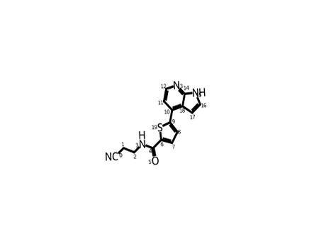 N#CCCNC(=O)c1ccc(-c2ccnc3[nH]ccc23)s1